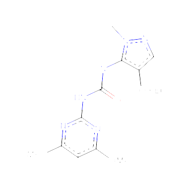 CCOC(=O)c1cnn(C)c1NC(=O)Nc1nc(OC)cc(OC)n1